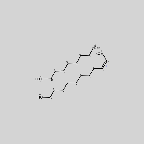 CCCCCCCC/C=C\CCCCCCCCO.CCCCCCCCCCCCCCCCCC(=O)O